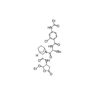 CCO[C@@H]1OC(=O)C[C@@H]1NC(=O)[C@@H]1[C@H]2CCC(C2)N1C(=O)[C@@H](NC(=O)c1ccc(NC(=O)CC)cc1Cl)C(C)(C)C